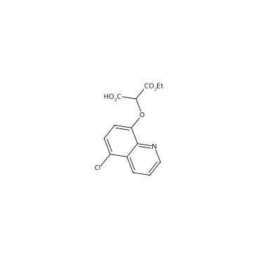 CCOC(=O)C(Oc1ccc(Cl)c2cccnc12)C(=O)O